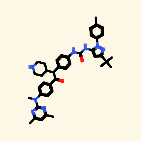 Cc1ccc(-n2nc(C(C)(C)C)cc2NC(=O)Nc2ccc(C(C(=O)c3ccc(N(C)c4nc(C)cc(C)n4)cc3)C3CCNCC3)cc2)cc1